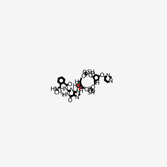 CNCc1ccccc1C(=O)Nc1nc2c(ncn2[C@@H]2O[C@@H]3CO[P@@](=O)(S)O[C@H]4C[C@H](Oc5ccncn5)C[C@@H]4CO[P@@](=O)(S)O[C@@H]2[C@@H]3O)c(=O)[nH]1